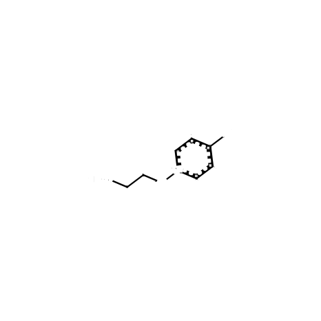 CCCCCCCCO[n+]1ccc(F)cc1